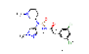 CN1CCCC(N(c2cnn(C)c2)[S+]([O-])NC(=O)Cc2cc(Cl)cc(Cl)c2)C1